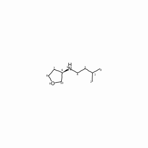 CC(C)CCN[C@@H]1CCOC1